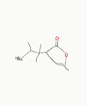 CCCCC(C)C(C)(C)C1C=C(C)OC1=O